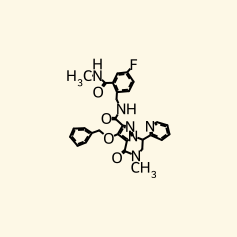 CNC(=O)c1cc(F)ccc1CNC(=O)c1nn2c(c1OCc1ccccc1)C(=O)N(C)CC2c1ccccn1